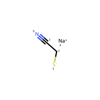 N#CC[S-].[Na+]